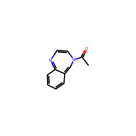 CC(=O)N1C=CN=c2ccccc2=C1